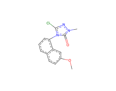 COc1ccc2cccc(-n3c(Cl)nn(C)c3=O)c2c1